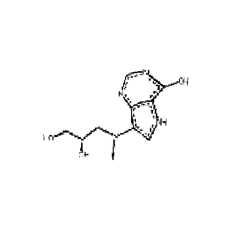 CN(C[C@@H](O)CO)c1c[nH]c2c(O)ncnc12